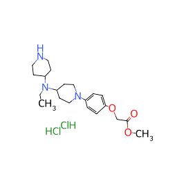 CCN(C1CCNCC1)C1CCN(c2ccc(OCC(=O)OC)cc2)CC1.Cl.Cl